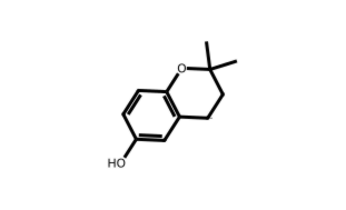 CC1(C)C[CH]c2cc(O)ccc2O1